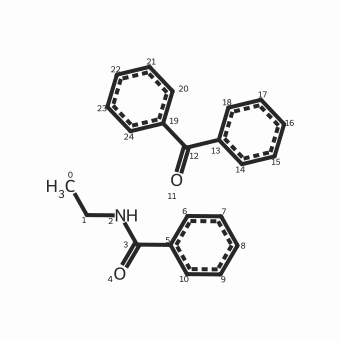 CCNC(=O)c1ccccc1.O=C(c1ccccc1)c1ccccc1